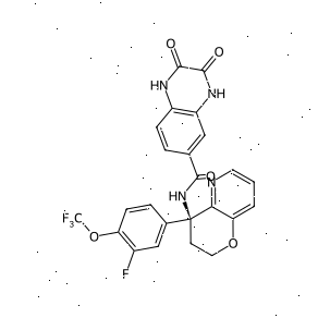 O=C(N[C@]1(c2ccc(OC(F)(F)F)c(F)c2)CCOc2cccnc21)c1ccc2[nH]c(=O)c(=O)[nH]c2c1